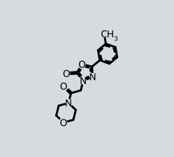 Cc1cccc(-c2nn(CC(=O)N3CCOCC3)c(=O)o2)c1